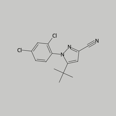 CC(C)(C)c1cc(C#N)nn1-c1ccc(Cl)cc1Cl